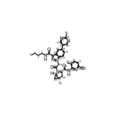 CCCCNC(=O)c1nn(CC(=O)N2[C@H](C(=O)Nc3nc(Br)ccc3C)C[C@@]3(C)C[C@@H]23)c2ccc(-c3cnc(C)nc3)cc12